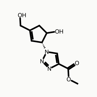 COC(=O)c1cn([C@@H]2C=C(CO)CC2O)nn1